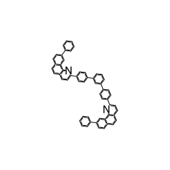 c1ccc(-c2ccc3ccc4ccc(-c5ccc(-c6cccc(-c7ccc(-c8ccc9ccc%10ccc(-c%11ccccc%11)cc%10c9n8)cc7)c6)cc5)nc4c3c2)cc1